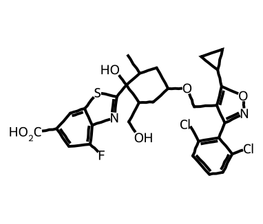 CC1CC(OCc2c(-c3c(Cl)cccc3Cl)noc2C2CC2)CC(CO)C1(O)c1nc2c(F)cc(C(=O)O)cc2s1